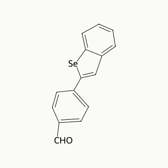 O=Cc1ccc(-c2cc3ccccc3[se]2)cc1